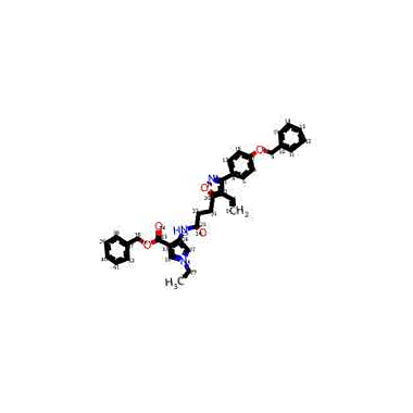 C=Cc1c(-c2ccc(OCc3ccccc3)cc2)noc1CCC(=O)Nc1cn(CC)cc1C(=O)OCc1ccccc1